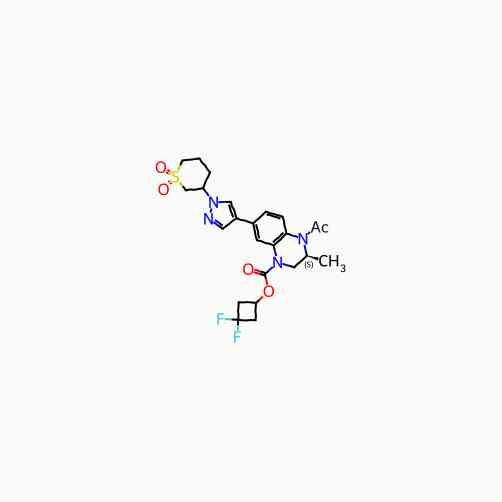 CC(=O)N1c2ccc(-c3cnn(C4CCCS(=O)(=O)C4)c3)cc2N(C(=O)OC2CC(F)(F)C2)C[C@@H]1C